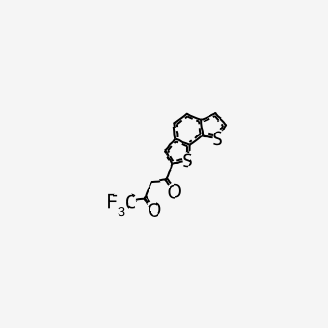 O=C(CC(=O)C(F)(F)F)c1cc2ccc3ccsc3c2s1